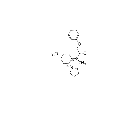 CN(C(=O)COc1ccccc1)[C@@H]1CCCC[C@H]1N1CCCC1.Cl